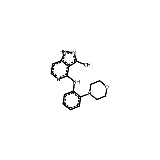 Cc1n[nH]c2ccnc(Nc3ccccc3N3CCOCC3)c12